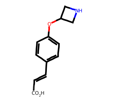 O=C(O)C=Cc1ccc(OC2CNC2)cc1